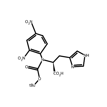 CC(C)(C)OC(=O)N(c1ccc([N+](=O)[O-])cc1[N+](=O)[O-])[C@@H](Cc1c[nH]cn1)C(=O)O